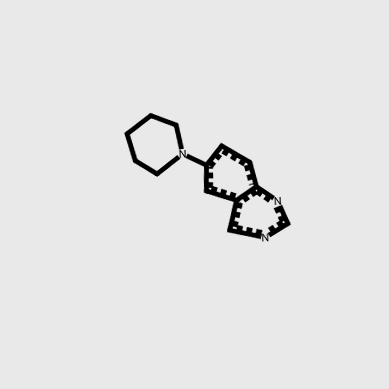 c1ncc2cc(N3CCCCC3)ccc2n1